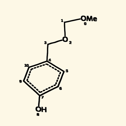 COCOCc1ccc(O)cc1